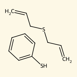 C=CCSCC=C.Sc1ccccc1